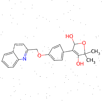 CC1(C)OC(O)C(c2ccc(OCc3ccc4ccccc4n3)cc2)=C1O